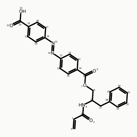 C=CC(=O)NC(COC(=O)c1ccc(/N=N/c2ccc(C(=O)O)cc2)cc1)Cc1ccccc1